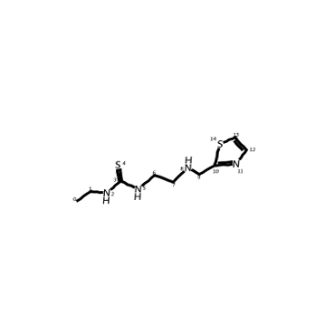 CCNC(=S)NCCNCc1nccs1